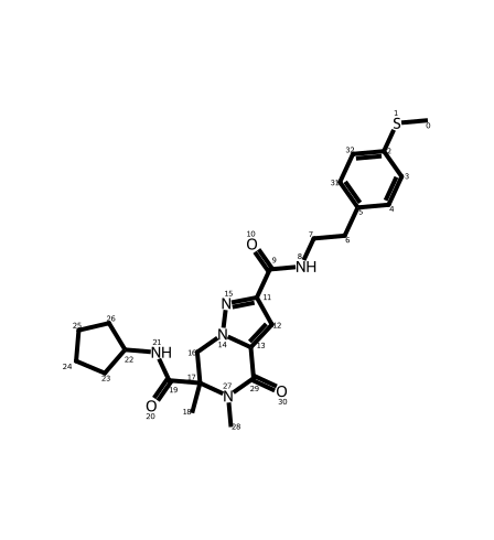 CSc1ccc(CCNC(=O)c2cc3n(n2)CC(C)(C(=O)NC2CCCC2)N(C)C3=O)cc1